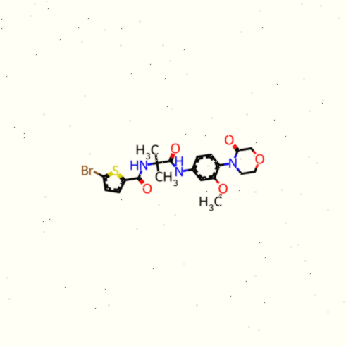 COc1cc(NC(=O)C(C)(C)NC(=O)c2ccc(Br)s2)ccc1N1CCOCC1=O